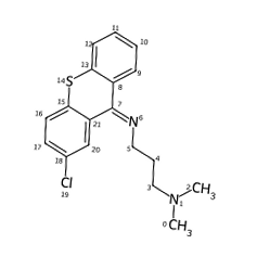 CN(C)CCCN=c1c2ccccc2sc2ccc(Cl)cc12